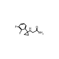 NC(=O)CNC1(c2cccc(F)c2F)CC1